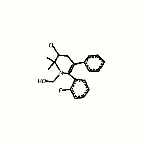 CC1(C)C(Cl)CC(c2ccccc2)=C(c2ccccc2F)N1CO